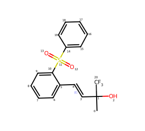 CC(O)(/C=C/c1ccccc1S(=O)(=O)c1ccccc1)C(F)(F)F